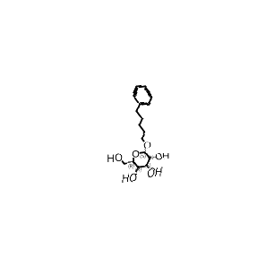 OC[C@H]1O[C@H](OCCCCCc2ccccc2)[C@H](O)[C@@H](O)[C@H]1O